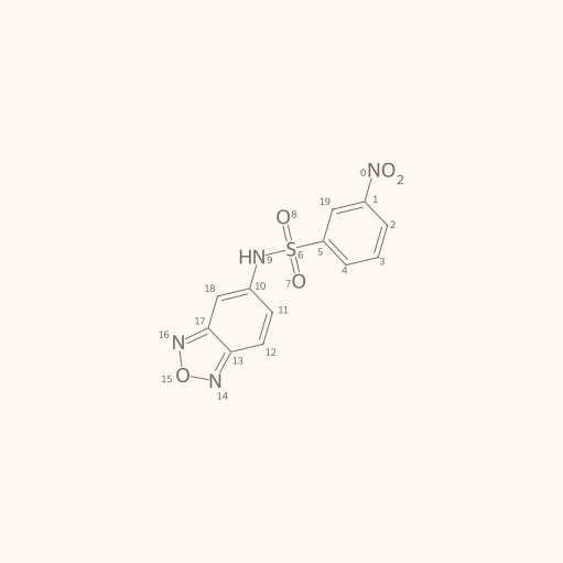 O=[N+]([O-])c1cccc(S(=O)(=O)Nc2ccc3nonc3c2)c1